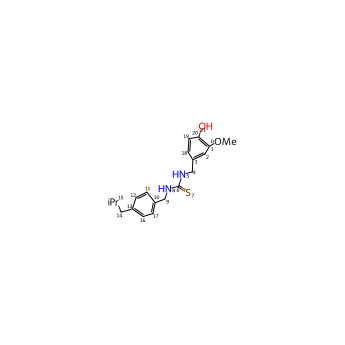 COc1cc(CNC(=S)NCc2ccc(CC(C)C)cc2)ccc1O